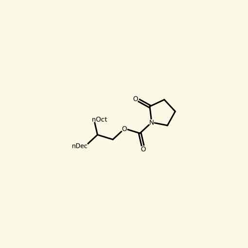 CCCCCCCCCCC(CCCCCCCC)COC(=O)N1CCCC1=O